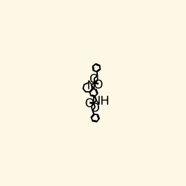 O=C(Nc1ccc2c(c1)CCCCN2C(=O)OCc1ccccc1)OCc1ccccc1